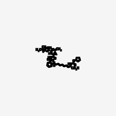 C=C[C@@H]1C[C@@]1(NC(=O)[C@@H]1C[C@@]2(CN1)CC2(C)C)C(=O)NS(=O)(=O)c1ccccc1NCCCCCCC[C@H](NC(=O)OC1CCCC1)C(=O)O